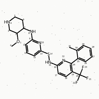 COC1CNCCC1Nc1cccc(SNc2ccc(C(F)(F)F)c(-c3ccccc3C)n2)n1